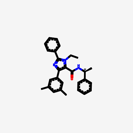 CCn1c(-c2ccccc2)nc(-c2cc(C)cc(C)c2)c1C(=O)N[C@@H](C)c1ccccc1